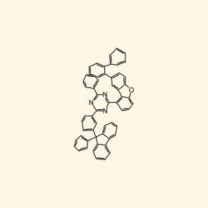 c1ccc(-c2nc(-c3cccc(C4(c5ccccc5)c5ccccc5-c5ccccc54)c3)nc(-c3cccc4oc5ccc(-c6ccccc6-c6ccccc6)cc5c34)n2)cc1